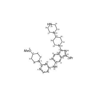 COC1CCN(c2nccc(Nc3cc4c(cn3)c(N3CCC(N5CCNCC5)CC3)nn4C(C)C)n2)CC1